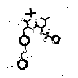 CC(C)CC(NS(=O)(=O)c1cccs1)C(=O)NC(Cc1ccc(OCc2ccccc2)cc1)C(=O)OC(C)(C)C